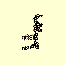 C=CCCOc1cc2c(cc1C)sc1cc(-c3ccc4c(c3)C(c3ccc5c(c3)CC5)(c3ccc5c(c3)CC5)c3cc(-c5ccc6c(c5)C(CCCCCCCC)(CCCCCCCC)c5cc(-c7ccc8c(c7)Oc7cc(C)ccc7N8c7ccc(CCCC)cc7)ccc5-6)ccc3-4)c(OCCC=C)cc12